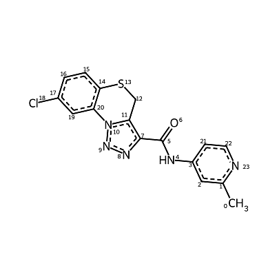 Cc1cc(NC(=O)c2nnn3c2CSc2ccc(Cl)cc2-3)ccn1